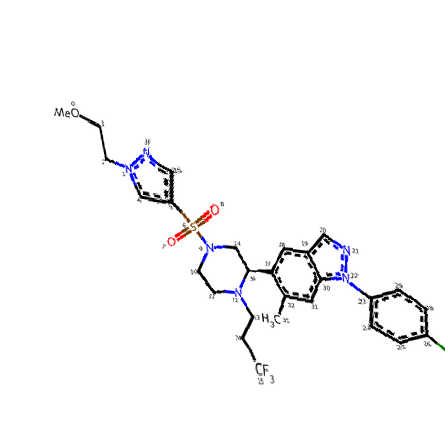 COCCn1cc(S(=O)(=O)N2CCN(CCC(F)(F)F)[C@H](c3cc4cnn(-c5ccc(F)cc5)c4cc3C)C2)cn1